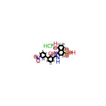 Cl.O=[N+]([O-])c1cccc(-c2cccc(-c3nc4c(cc(S(=O)(=O)O)c5cccc(O)c54)[nH]3)c2O)c1